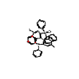 O=P(c1ccccc1)(c1ccccc1)c1cc(I)c2ccccc2c1-c1c(P(c2ccccc2)c2ccccc2)cc(I)c2ccccc12